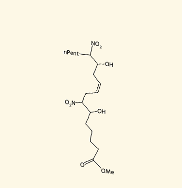 CCCCCC(C(O)C/C=C\CC(C(O)CCCCC(=O)OC)[N+](=O)[O-])[N+](=O)[O-]